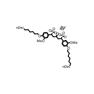 CCCCCCCCCCCCCCCCOc1ccc(C(CC(=O)CC(c2ccc(OCCCCCCCCCCCCCCCC)c(OC)c2)S(=O)(=O)[O-])S(=O)(=O)[O-])cc1OC.[Na+].[Na+]